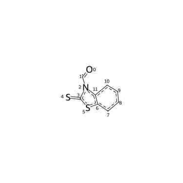 O=[C]n1c(=S)sc2ccccc21